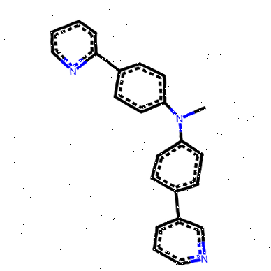 CN(c1ccc(-c2cccnc2)cc1)c1ccc(-c2ccccn2)cc1